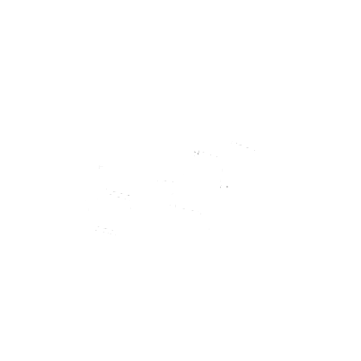 CCOC(=O)N=C(Cc1ccccc1F)OCC